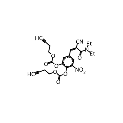 C#CCCOC(=O)Oc1cc(C=C(C#N)C(=O)N(CC)CC)cc([N+](=O)[O-])c1OC(=O)OCCC#C